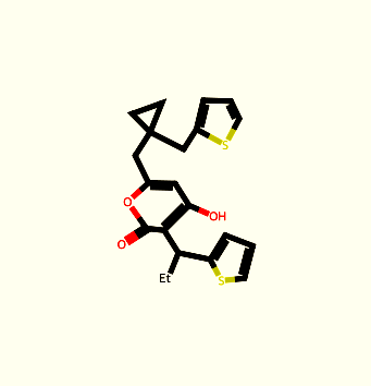 CCC(c1cccs1)c1c(O)cc(CC2(Cc3cccs3)CC2)oc1=O